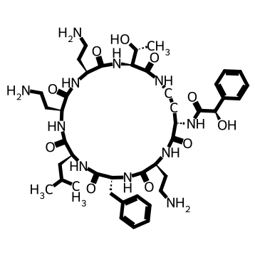 CC(C)C[C@@H]1NC(=O)[C@@H](Cc2ccccc2)NC(=O)[C@H](CCN)NC(=O)[C@@H](NC(=O)[C@H](O)c2ccccc2)CCNC(=O)[C@H]([C@@H](C)O)NC(=O)[C@H](CCN)NC(=O)[C@H](CCN)NC1=O